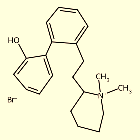 C[N+]1(C)CCCCC1CCc1ccccc1-c1ccccc1O.[Br-]